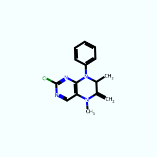 C=C1C(C)N(c2ccccc2)c2nc(Cl)ncc2N1C